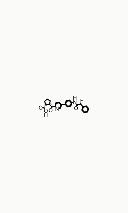 O=C(Nc1ccc(-c2ccc(C(=O)[C@@H]3CCC[C@H]3C(=O)O)nc2)cc1)C(F)c1ccccc1